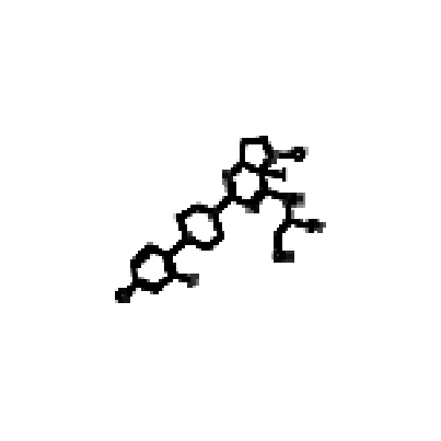 CC(C)C(CO)NC1=NC(N2CCN(c3ccc(Cl)cc3F)CC2)=NC2CC[S+]([O-])C12I